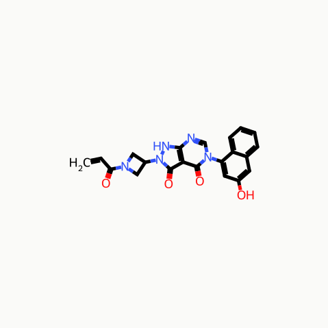 C=CC(=O)N1CC(n2[nH]c3ncn(-c4cc(O)cc5ccccc45)c(=O)c3c2=O)C1